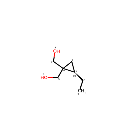 CC[C@@H]1CC1(CO)CO